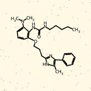 CCCCCNC(=O)Nc1c(OCCCc2nc(-c3ccccc3)c(C)[nH]2)cccc1N(C)C